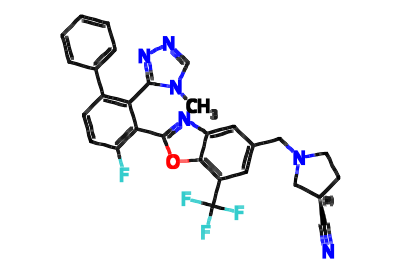 Cn1cnnc1-c1c(-c2ccccc2)ccc(F)c1-c1nc2cc(CN3CC[C@@H](C#N)C3)cc(C(F)(F)F)c2o1